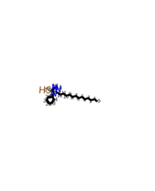 CCCCCCCCCCCCCc1nnc(S)n1-c1ccccc1